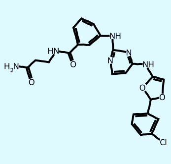 NC(=O)CCNC(=O)c1cccc(Nc2nccc(NC3=COC(c4cccc(Cl)c4)O3)n2)c1